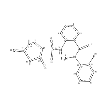 NN(C(=O)c1ccccc1NS(=O)(=O)c1c[nH]c(=O)[nH]c1=O)c1ccccc1F